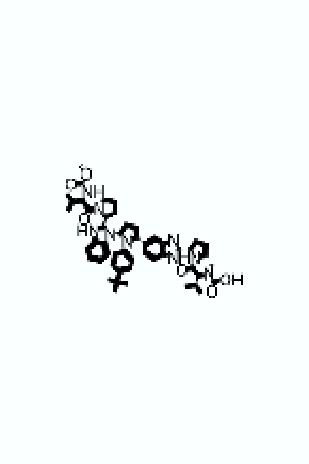 COC(=O)N[C@H](C(=O)N1CCC[C@H]1C1Nc2ccccc2N1[C@@H]1CC[C@H](c2ccc3[nH]c([C@@H]4CCCN4C(=O)[C@H](C(C)C)N(C)C(=O)O)nc3c2)N1c1ccc(C(C)(C)C)cc1)C(C)C